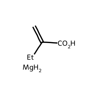 C=C(CC)C(=O)O.[MgH2]